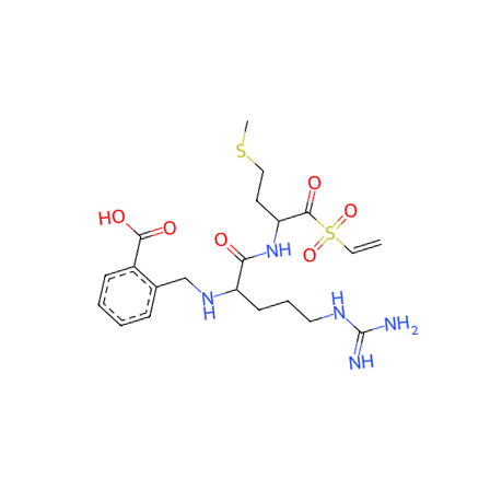 C=CS(=O)(=O)C(=O)C(CCSC)NC(=O)C(CCCNC(=N)N)NCc1ccccc1C(=O)O